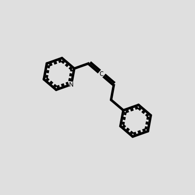 C(=CCc1ccccc1)=Cc1ccccn1